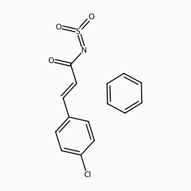 O=C(C=Cc1ccc(Cl)cc1)N=S(=O)=O.c1ccccc1